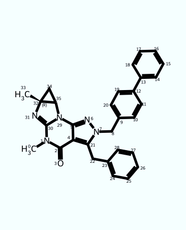 CN1C(=O)c2c(nn(Cc3ccc(-c4ccccc4)cc3)c2Cc2ccccc2)N2C1=N[C@]1(C)CC21